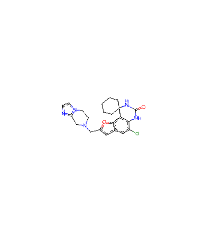 O=C1Nc2c(Cl)cc3cc(CN4CCn5ccnc5C4)oc3c2C2(CCCCC2)N1